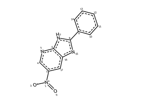 O=[N+]([O-])c1cnc2[nH]c(-c3ccccc3)nc2c1